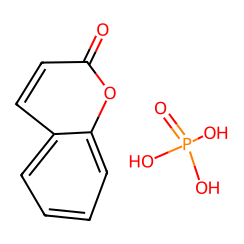 O=P(O)(O)O.O=c1ccc2ccccc2o1